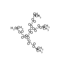 CN(C)CCOC(=O)CCC(=O)OCC(COC(=O)CCC(=O)OCCN(C)C)OC(=O)CCC(=O)OC(COC(=O)CCC(=O)OCCN(C)C)COC(=O)CCC(=O)OCN(C)C